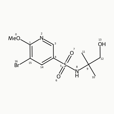 COc1ncc(S(=O)(=O)NC(C)(C)CO)cc1Br